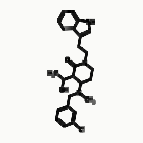 CC(O)C1C(=O)N(CCc2c[nH]c3ccccc23)CCC1N(C)Cc1cccc(Cl)c1